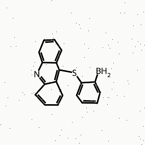 Bc1ccccc1Sc1c2ccccc2nc2ccccc12